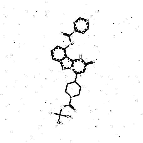 CC(C)(C)OC(=O)N1CCC(c2cc(=O)[nH]c3c4c(NC(=O)c5ccncn5)cccc4nn23)CC1